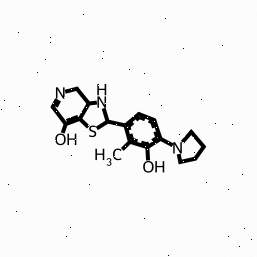 Cc1c(C2NC3CN=CC(O)=C3S2)ccc(N2CCCC2)c1O